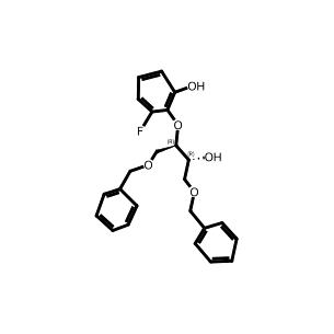 Oc1cccc(F)c1O[C@H](COCc1ccccc1)[C@H](O)COCc1ccccc1